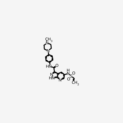 C=CS(=O)(=O)Nc1cnc2[nH]nc(C(=O)Nc3ccc(N4CCN(C)CC4)cc3)c2c1